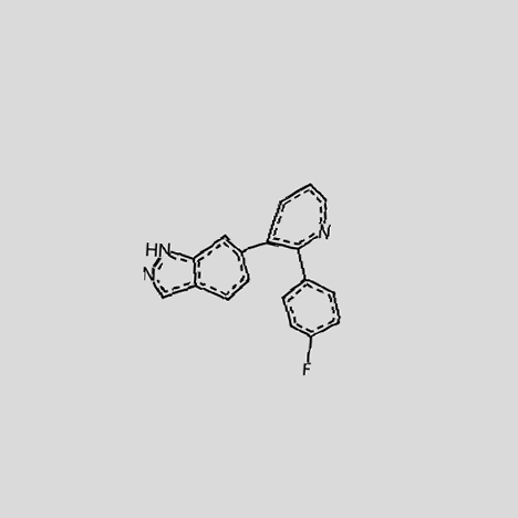 Fc1ccc(-c2ncccc2-c2ccc3cn[nH]c3c2)cc1